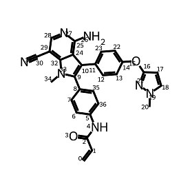 C=CC(=O)Nc1ccc(-c2c(-c3ccc(Oc4ccn(C)n4)cc3)c3c(N)ncc(C#N)c3n2C)cc1